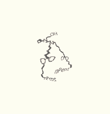 CCCCC/C=C\CCCOC(=O)CCCCCN(CCCCCC(=O)OCCC/C=C\CCCCC)CCN(CCO)C1CCC1